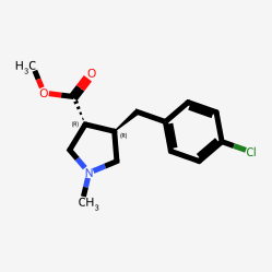 COC(=O)[C@H]1CN(C)C[C@@H]1Cc1ccc(Cl)cc1